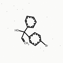 C=CC(O)(c1ccccc1)c1ccc(Br)cc1